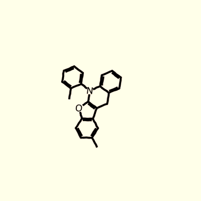 Cc1ccc2oc3c(c2c1)Cc1ccccc1N3c1ccccc1C